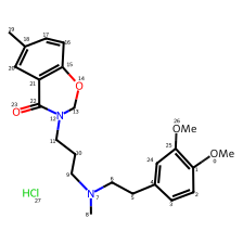 COc1ccc(CCN(C)CCCN2COc3ccc(C)cc3C2=O)cc1OC.Cl